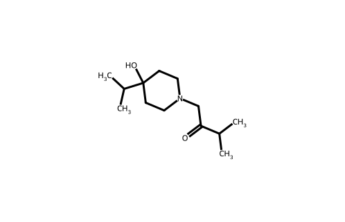 CC(C)C(=O)CN1CCC(O)(C(C)C)CC1